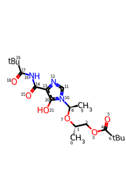 C[C@@H](COC(=O)C(C)(C)C)O[C@H](C)n1cnc(C(=O)NC(=O)C(C)(C)C)c1O